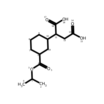 CC(C)OC(=O)C1CCCC(C(CC(=O)O)C(=O)O)C1